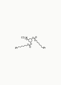 CC(C)CCCCCCOC(=O)OC1CC(OC(=O)O)CC(OC(=O)OCCCCCCC(C)C)C1